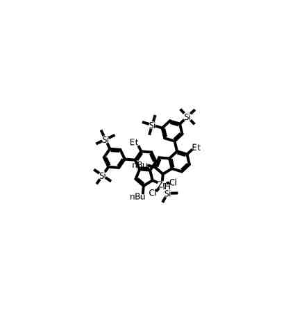 CCCCC1=Cc2c(ccc(CC)c2-c2cc([Si](C)(C)C)cc([Si](C)(C)C)c2)[CH]1[Zr]([Cl])([Cl])([CH]1C(CCCC)=Cc2c1ccc(CC)c2-c1cc([Si](C)(C)C)cc([Si](C)(C)C)c1)[SiH](C)C